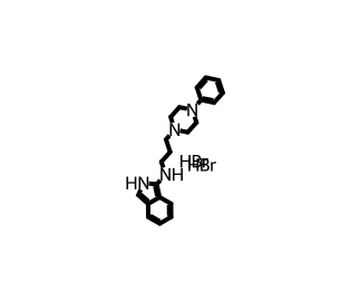 Br.Br.c1ccc(N2CCN(CCCNc3[nH]cc4ccccc34)CC2)cc1